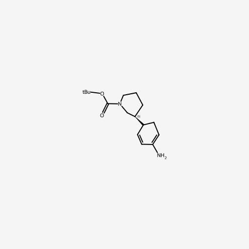 CC(C)(C)OC(=O)N1CCC[C@@H](C2C=CC(N)=CC2)C1